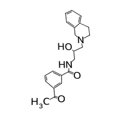 CC(=O)c1cccc(C(=O)NCC(O)CN2CCc3ccccc3C2)c1